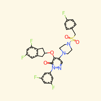 O=c1c(OC2Cc3cc(F)cc(F)c3C2)c(N2CCN(S(=O)(=O)Cc3ccc(F)cc3)CC2)cnn1-c1cc(F)cc(F)c1